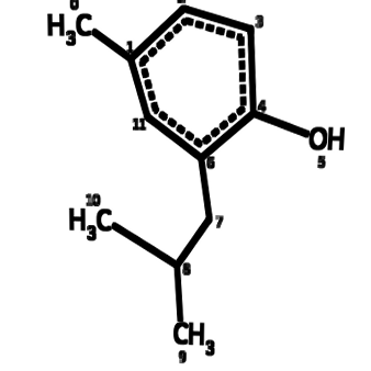 Cc1ccc(O)c(CC(C)C)c1